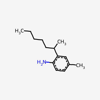 CCCCCC(C)c1cc(C)ccc1N